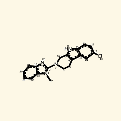 Cn1c(N2CCc3c([nH]c4ccc(Cl)cc34)C2)nc2ccccc21